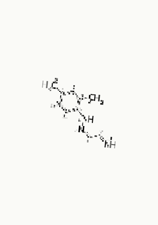 Cc1cc(C)c(N/N=C\C=N)cn1